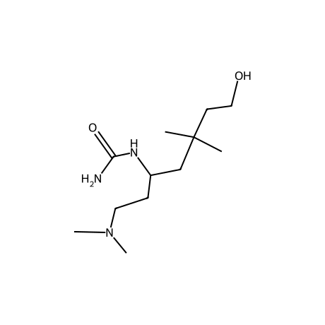 CN(C)CCC(CC(C)(C)CCO)NC(N)=O